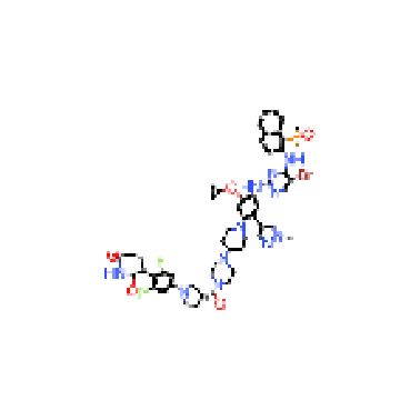 Cn1cc(-c2cc(Nc3ncc(Br)c(Nc4ccc5ccccc5c4P(C)(C)=O)n3)c(OC3CC3)cc2N2CCC(N3CCN(C(=O)[C@@H]4CCN(c5cc(F)c(C6CCC(=O)NC6=O)c(F)c5)C4)CC3)CC2)cn1